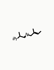 C/C=C(\C)C/N=C/C(C)C(C)C